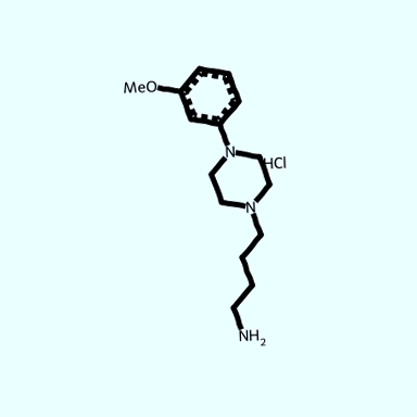 COc1cccc(N2CCN(CCCCN)CC2)c1.Cl